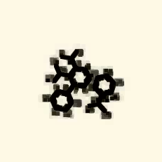 CC(C)c1cccc(-c2ccccc2)c1C(C)C.CC(C)c1ccccc1